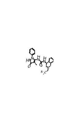 Cc1c(NC(=O)NC2CN(CC(F)(F)F)Cc3ccccc32)n(-c2ccccc2)[nH]c1=O